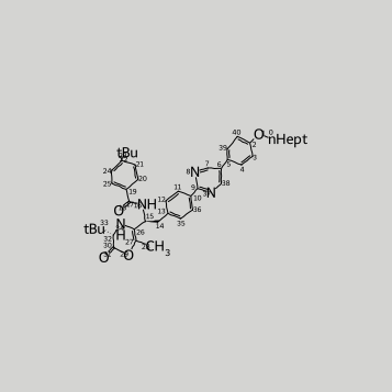 CCCCCCCOc1ccc(-c2cnc(-c3ccc(C[C@H](NC(=O)c4ccc(C(C)(C)C)cc4)C4=C(C)OC(=O)[C@H](C(C)(C)C)N4)cc3)nc2)cc1